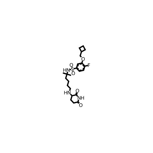 CC(C)(CCCCNC1CCC(=O)NC1=O)NS(=O)(=O)c1ccc(F)c(OCC2CCC2)c1